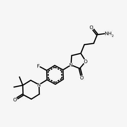 CC1(C)CN(c2ccc(N3CC(CCC(N)=O)OC3=O)cc2F)CCC1=O